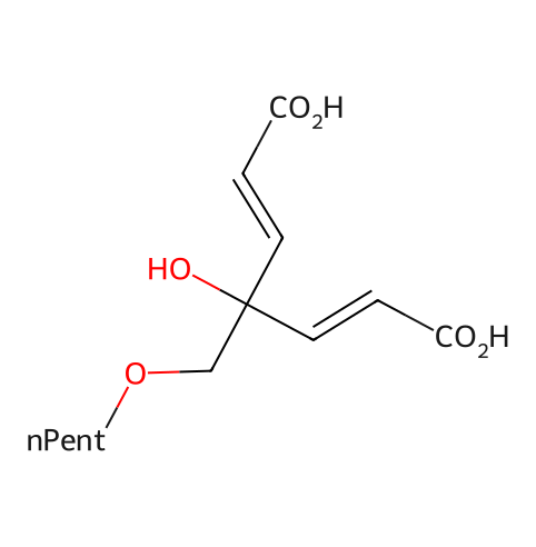 CCCCCOCC(O)(C=CC(=O)O)C=CC(=O)O